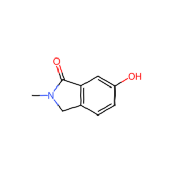 CN1Cc2ccc(O)cc2C1=O